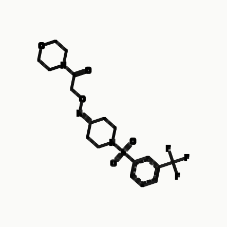 O=C(CON=C1CCN(S(=O)(=O)c2cccc(C(F)(F)F)c2)CC1)N1CCOCC1